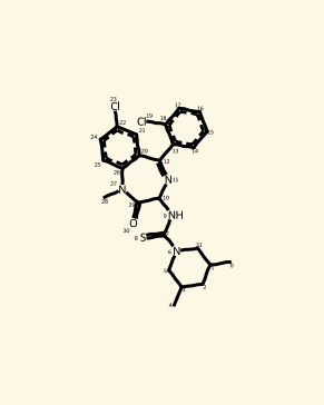 CC1CC(C)CN(C(=S)NC2N=C(c3ccccc3Cl)c3cc(Cl)ccc3N(C)C2=O)C1